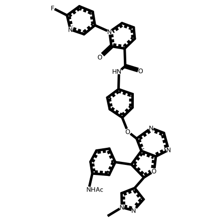 CC(=O)Nc1cccc(-c2c(-c3cnn(C)c3)oc3ncnc(Oc4ccc(NC(=O)c5cccn(-c6ccc(F)nc6)c5=O)cc4)c23)c1